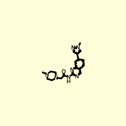 CN1CCN(CC(=O)Nc2ncc3ccc(-c4cnn(C)c4)cc3n2)CC1